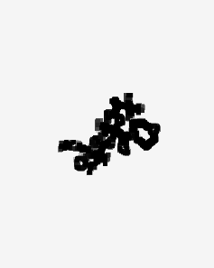 C=C(C(=O)OC(OCC(F)(F)S(=O)(=O)O)(C(=O)N1CCOCC1)C(F)(F)F)C(F)(F)F